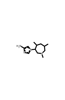 CC1CC(C)C(n2cnc(N)c2)CN(C)C1